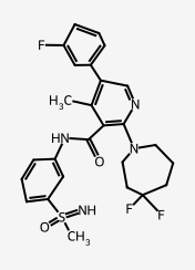 Cc1c(-c2cccc(F)c2)cnc(N2CCCC(F)(F)CC2)c1C(=O)Nc1cccc(S(C)(=N)=O)c1